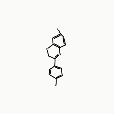 Cc1ccc(C2=Nc3ccc(F)cc3OC2)cc1